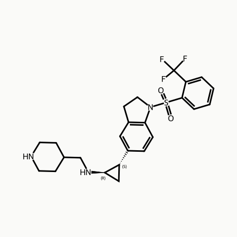 O=S(=O)(c1ccccc1C(F)(F)F)N1CCc2cc([C@@H]3C[C@H]3NCC3CCNCC3)ccc21